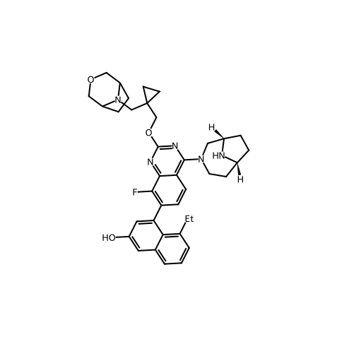 CCc1cccc2cc(O)cc(-c3ccc4c(N5CC[C@H]6CC[C@@H](C5)N6)nc(OCC5(CN6C7CCC6COC7)CC5)nc4c3F)c12